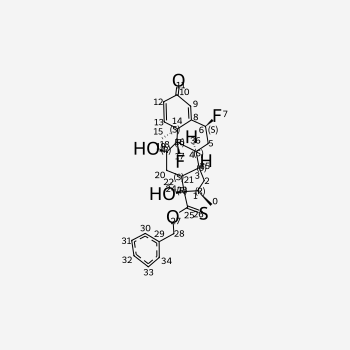 C[C@@H]1C[C@H]2[C@@H]3C[C@H](F)C4=CC(=O)C=C[C@]4(C)[C@@]3(F)[C@H](O)C[C@]2(C)[C@@]1(O)C(=S)OCc1ccccc1